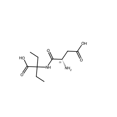 CCC(CC)(NC(=O)[C@@H](N)CC(=O)O)C(=O)O